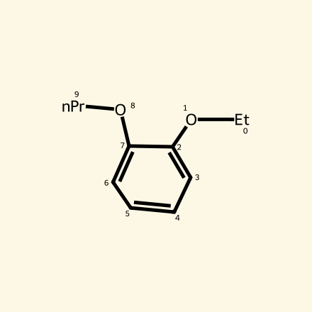 [CH2]COc1ccccc1OCCC